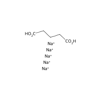 O=C(O)CCCC(=O)O.[Na+].[Na+].[Na+].[Na+].[Na+]